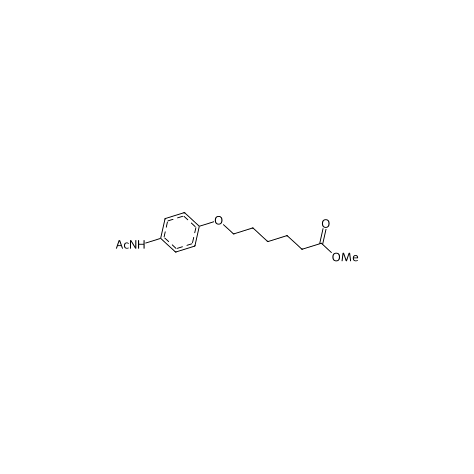 COC(=O)CCCCCOc1ccc(NC(C)=O)cc1